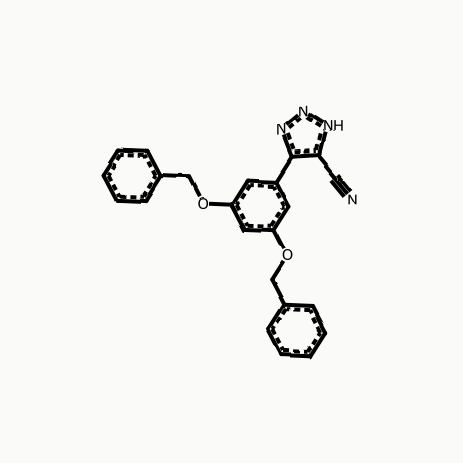 N#Cc1[nH]nnc1-c1cc(OCc2ccccc2)cc(OCc2ccccc2)c1